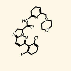 O=C(NC1=NC(CN2CCOCC2)=CCC1)C1CN=C2C=CC(C3=C(F)CCC=C3Cl)=NN21